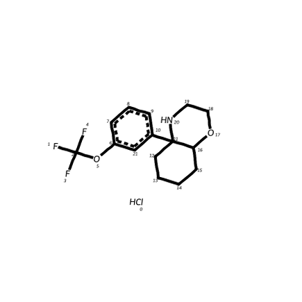 Cl.FC(F)(F)Oc1cccc(C23CCCCC2OCCN3)c1